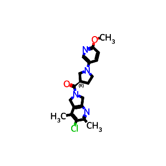 COc1ccc(N2CC[C@@H](C(=O)N3Cc4nc(C)c(Cl)c(C)c4C3)C2)cn1